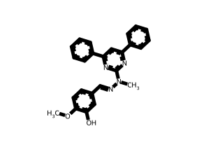 COc1ccc(C=NN(C)c2nc(-c3ccccc3)cc(-c3ccccc3)n2)cc1O